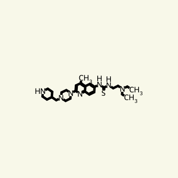 CCN(CC)CCNC(=S)Nc1ccc2nc(N3CCN(CC4CCNCC4)CC3)cc(C)c2c1